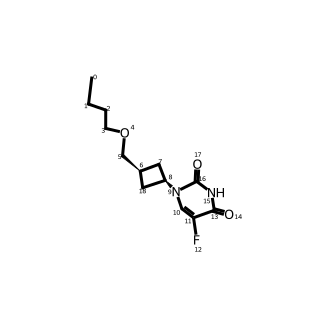 CCCCOC[C@H]1C[C@@H](n2cc(F)c(=O)[nH]c2=O)C1